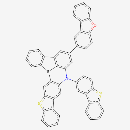 c1ccc2c(c1)B1c3cc4sc5ccccc5c4cc3N(c3ccc4sc5ccccc5c4c3)c3cc(-c4ccc5oc6ccccc6c5c4)cc-2c31